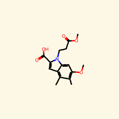 COC(=O)CCn1c(C(=O)O)cc2c(C)c(C)c(OC)cc21